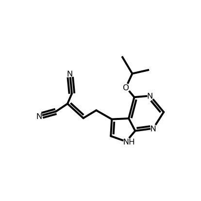 CC(C)Oc1ncnc2[nH]cc(CC=C(C#N)C#N)c12